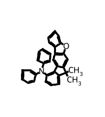 CC1(C)c2cc3oc4ccccc4c3cc2-c2c(N(c3ccccc3)c3ccccc3)cccc21